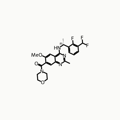 COc1cc2c(N[C@H](C)c3cccc(C(F)F)c3F)nc(C)nc2cc1C(=O)N1CCOCC1